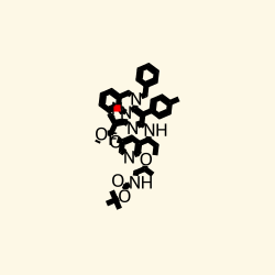 CCC(Nc1nc2c(C(=O)OC)cnn2c(N(Cc2ccccc2)Cc2ccccc2)c1-c1ccc(C)cc1)c1cc(F)cnc1OC(C)CNC(=O)OC(C)(C)C